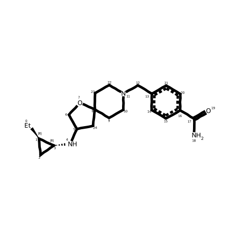 CC[C@@H]1C[C@H]1NC1COC2(CCN(Cc3ccc(C(N)=O)cc3)CC2)C1